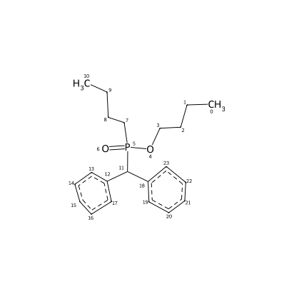 CCCCOP(=O)(CCCC)C(c1ccccc1)c1ccccc1